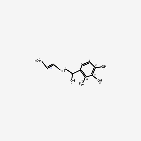 CCCCCCCCCC/C=C/NCC(O)c1ccc(O)c(O)c1C(F)(F)F